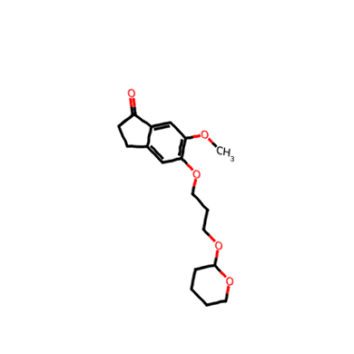 COc1cc2c(cc1OCCCOC1CCCCO1)CCC2=O